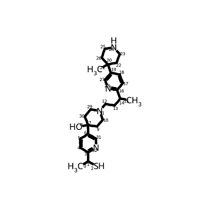 CC(S)c1ccc(C2(O)CCN(CCC(C)c3ccc(C4(C)CCNCC4)cn3)CC2)cn1